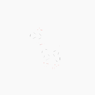 CC(=O)Oc1cc(-c2cc(S(=O)(=O)O)cc3cc(CC(=O)Oc4ccc(S(=O)(=O)O)c5ccccc45)ccc23)c2cc(S(=O)(=O)O)ccc2c1